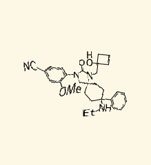 CCN[C@]1(c2ccccc2)CC[C@@]2(CC1)CN(c1ccc(C#N)cc1OC)C(=O)N2CC1(O)CCC1